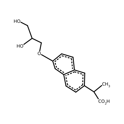 CC(C(=O)O)c1ccc2cc(OCC(O)CO)ccc2c1